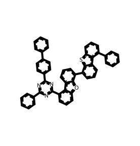 c1ccc(-c2ccc(-c3nc(-c4ccccc4)nc(-c4cccc5oc6c(-c7cccc8c7sc7cccc(-c9ccccc9)c78)cccc6c45)n3)cc2)cc1